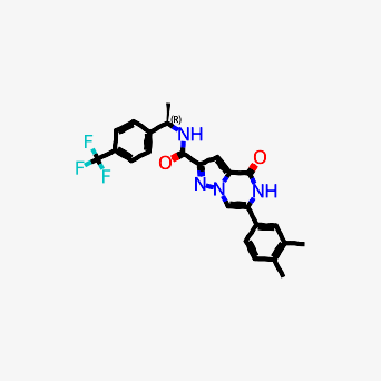 Cc1ccc(-c2cn3nc(C(=O)N[C@H](C)c4ccc(C(F)(F)F)cc4)cc3c(=O)[nH]2)cc1C